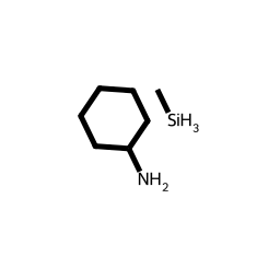 C[SiH3].NC1CCCCC1